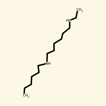 [CH2]CCCCCNCCCCCCNCC